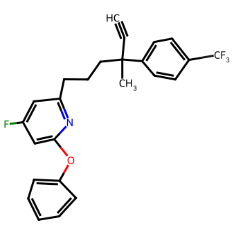 C#CC(C)(CCCc1cc(F)cc(Oc2ccccc2)n1)c1ccc(C(F)(F)F)cc1